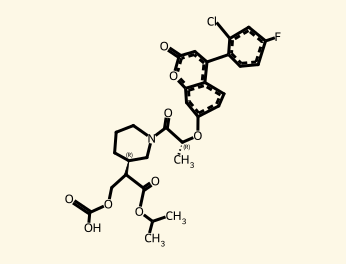 CC(C)OC(=O)C(COC(=O)O)[C@H]1CCCN(C(=O)[C@@H](C)Oc2ccc3c(-c4ccc(F)cc4Cl)cc(=O)oc3c2)C1